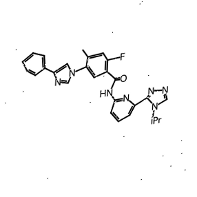 Cc1cc(F)c(C(=O)Nc2cccc(-c3nncn3C(C)C)n2)cc1-n1cnc(-c2ccccc2)c1